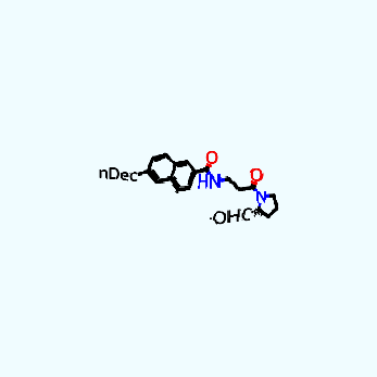 CCCCCCCCCCc1ccc2cc(C(=O)NCCC(=O)N3CCC[C@@H]3[C]=O)ccc2c1